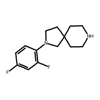 Fc1ccc(N2CCC3(CCNCC3)C2)c(F)c1